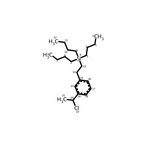 CCCC[Si](CCCC)(CCCC)CCc1cccc(C(C)Cl)c1